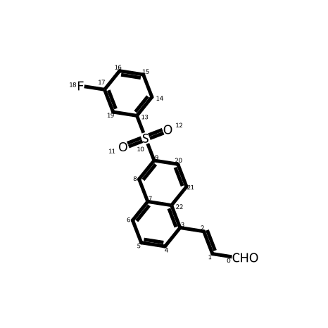 O=C/C=C/c1cccc2cc(S(=O)(=O)c3cccc(F)c3)ccc12